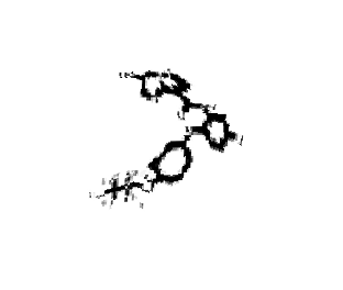 CC(C)(C)[Si](C)(C)OC1CCC(Oc2ccc(Cl)cc2NC(=O)c2cnn3cc(O)cnc23)CC1